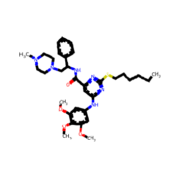 CCCCCCSc1nc(Nc2cc(OC)c(OC)c(OC)c2)cc(C(=O)NC(CN2CCN(C)CC2)c2ccccc2)n1